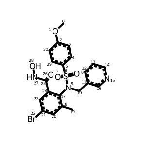 COc1ccc(S(=O)(=O)N(Cc2cccnc2)c2c(C)cc(Br)cc2C(=O)NO)cc1